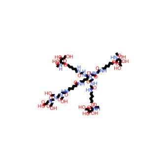 CC(=O)NC1C(OCCCCCCNC(=O)CNC(=O)CN(CC(=O)NCC(=O)NCCCCCCOC2OC(CO)C(O)C(O)C2NC(C)=O)C(CCCCNC(=O)CCCCCNC(=O)CN(CCN(CCN(CCC(=O)O)CC(=O)O)CC(=O)O)CC(=O)O)C(=O)NCC(=O)NCCCCCCOC2OC(CO)C(O)C(O)C2NC(C)=O)OC(CO)C(O)C1O